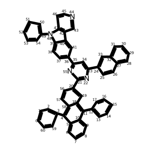 c1ccc(-c2c3ccccc3c(-c3ccccc3)c3cc(-c4nc(-c5ccc6ccccc6c5)cc(-c5ccc6c(c5)c5cnccc5n6-c5ccccc5)n4)ccc23)cc1